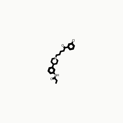 CCC(=O)Nc1cccc(C2CCN(CCCCC(=O)c3cccc(Cl)c3)CC2)c1